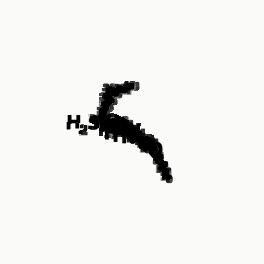 CCCCCCCCOc1ccc(-c2cnc(-c3ccc4c(c3F)C(F)(F)C([SiH2]C(C)CCCCCCC(C)CCCCC)O4)nc2)cc1